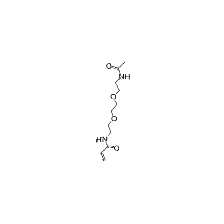 C=CC(=O)NCCOCCOCCNC(C)=O